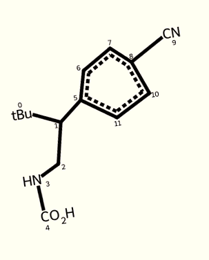 CC(C)(C)C(CNC(=O)O)c1ccc(C#N)cc1